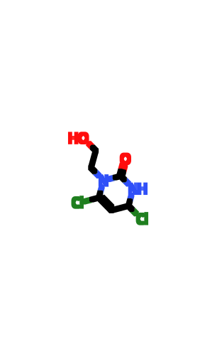 O=C1NC(Cl)C=C(Cl)N1CCO